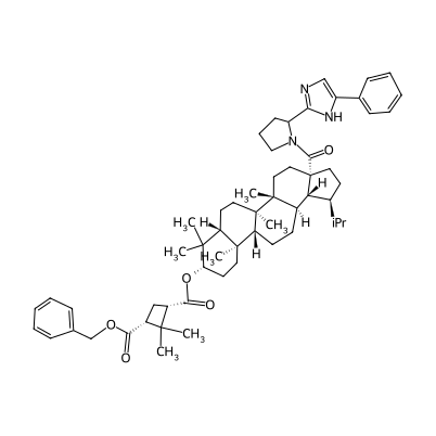 CC(C)[C@@H]1CC[C@]2(C(=O)N3CCCC3c3ncc(-c4ccccc4)[nH]3)CC[C@]3(C)[C@H](CC[C@@H]4[C@@]5(C)CC[C@H](OC(=O)[C@H]6C[C@@H](C(=O)OCc7ccccc7)C6(C)C)C(C)(C)[C@@H]5CC[C@]43C)[C@@H]12